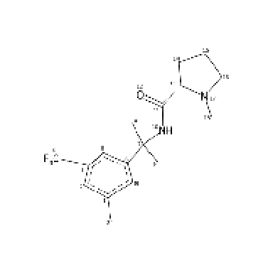 Cc1cc(C(F)(F)F)cc(C(C)(C)NC(=O)[C@@H]2CCCN2C)c1